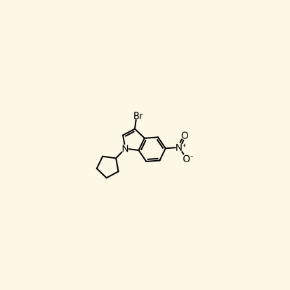 O=[N+]([O-])c1ccc2c(c1)c(Br)cn2C1CCCC1